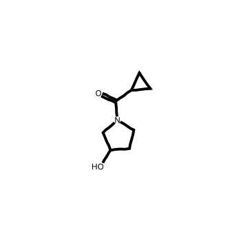 O=C(C1CC1)N1CCC(O)C1